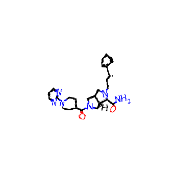 NC(=O)C1[C@@H]2CN(C(=O)C3CCN(c4ncccn4)CC3)CC2CN1CC[CH]c1ccccc1